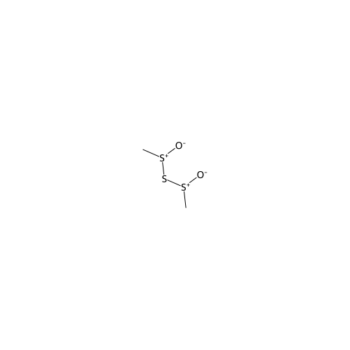 C[S+]([O-])S[S+](C)[O-]